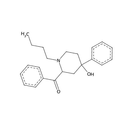 CCCCN1CCC(O)(c2ccccc2)CC1C(=O)c1ccccc1